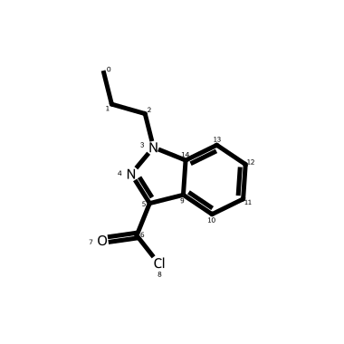 CCCn1nc(C(=O)Cl)c2ccccc21